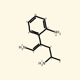 CC(N)C/C(=C/N)c1ccccc1N